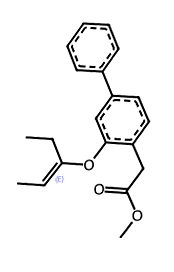 C/C=C(\CC)Oc1cc(-c2ccccc2)ccc1CC(=O)OC